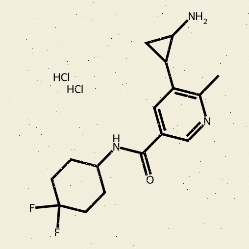 Cc1ncc(C(=O)NC2CCC(F)(F)CC2)cc1C1CC1N.Cl.Cl